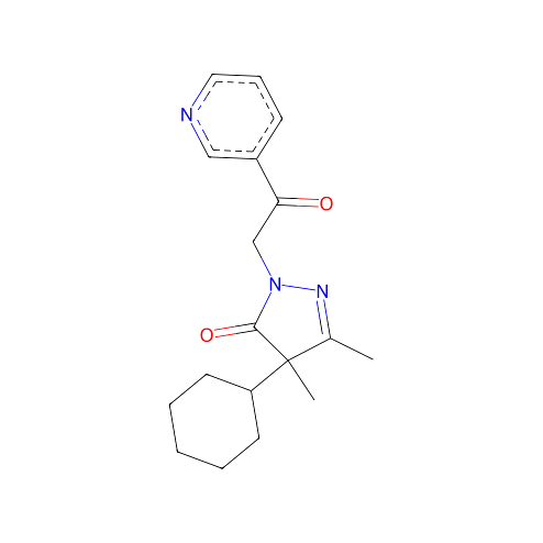 CC1=NN(CC(=O)c2cccnc2)C(=O)C1(C)C1CCCCC1